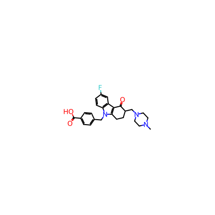 CN1CCN(CC2CCc3c(c4cc(F)ccc4n3Cc3ccc(C(=O)O)cc3)C2=O)CC1